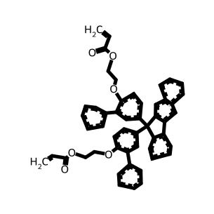 C=CC(=O)OCCOc1ccc(C2(c3ccc(OCCOC(=O)C=C)c(-c4ccccc4)c3)c3ccccc3-c3cc4ccccc4cc32)cc1-c1ccccc1